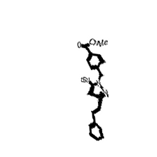 COC(=O)c1ccc(Cn2nc(CCc3ccccc3)cc2C(C)(C)C)cc1